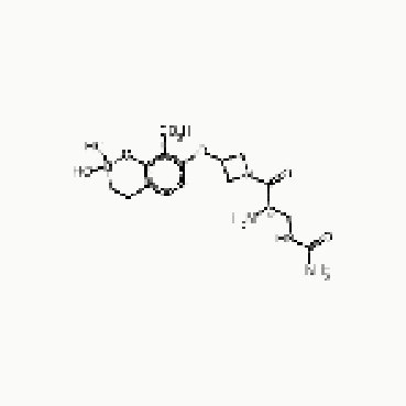 N[C@H](CNC([NH3+])=O)C(=O)N1CC(Oc2ccc3c(c2C(=O)O)O[B-](O)(O)CC3)C1